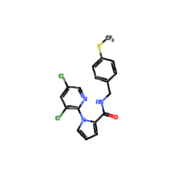 O=C(NCc1ccc(SC(F)(F)F)cc1)c1cccn1-c1ncc(Cl)cc1Cl